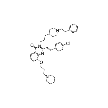 O=c1c2cccc(OCCCN3CCCCC3)c2nc(C=Cc2ccc(Cl)cc2)n1CCCC1CCN(CCc2ccccc2)CC1